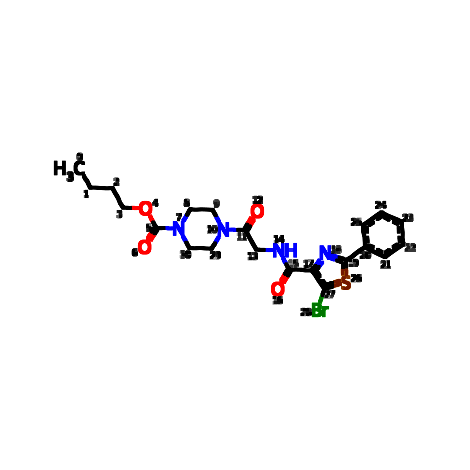 CCCCOC(=O)N1CCN(C(=O)CNC(=O)c2nc(-c3ccccc3)sc2Br)CC1